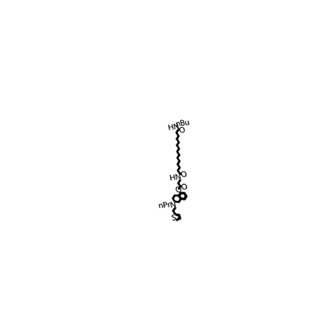 CCCCNC(=O)CCCCCCCCCCCCCC(=O)NCCC(=O)Oc1cccc2c1CCC(N(CCC)CCc1cccs1)C2